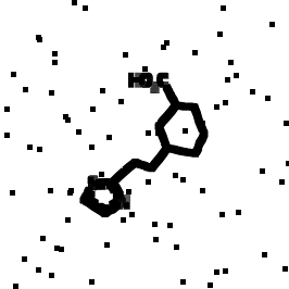 O=C(O)C1CCCC(CCc2nccs2)C1